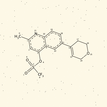 Cc1cc(OS(=O)(=O)C(F)(F)F)c2cc(C3=CCOCC3)ccc2n1